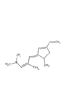 C=CC1=C/C(=C/C(C)=C\N(C)C)C(C)C1